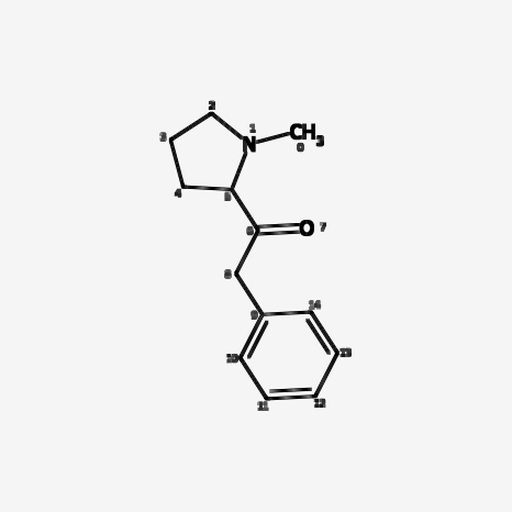 CN1CCCC1C(=O)Cc1ccccc1